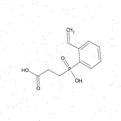 C=Cc1ccccc1P(=O)(O)CCC(=O)O